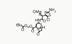 CON=C(C(=O)N[C@H]1C=C(C(=O)OCOC(=O)C(C)(C)C)N2C(=O)C[C@@H]2S1)c1nc(N)sc1Cl